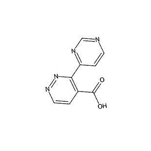 O=C(O)c1ccnnc1-c1ccncn1